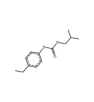 CCc1ccc(OC(=O)OCC(C)C)cc1